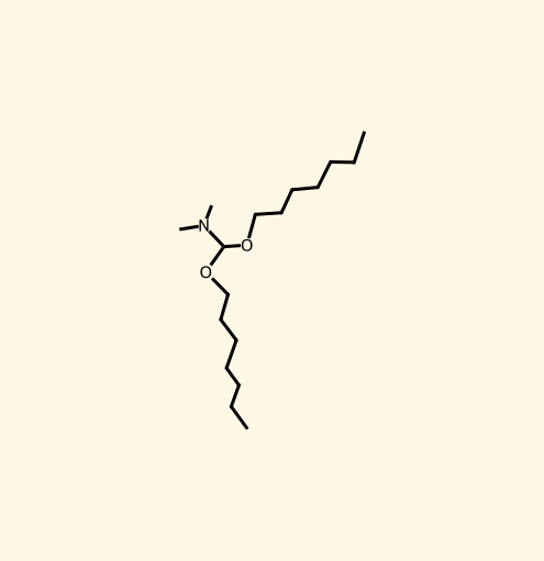 CCCCCCCOC(OCCCCCCC)N(C)C